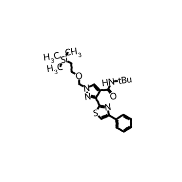 CC(C)(C)NC(=O)c1cn(COCC[Si](C)(C)C)nc1-c1nc(-c2ccccc2)cs1